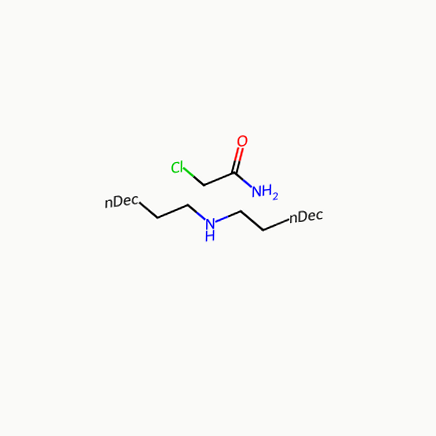 CCCCCCCCCCCCNCCCCCCCCCCCC.NC(=O)CCl